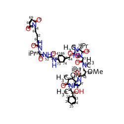 CC[C@H](C)[C@@H]([C@@H](CC(=O)N1CC=C[C@H]1[C@H](OC)[C@@H](C)C(=O)N[C@H](C)[C@@H](O)c1ccccc1)OC)N(C)C(=O)CNC(=O)[C@H](C(C)C)N(C)C(=O)OCc1ccc(NC(=O)CNC(=O)[C@@H](NC(=O)CCCCCN2C(=O)C=CC2=O)C(C)C)cc1